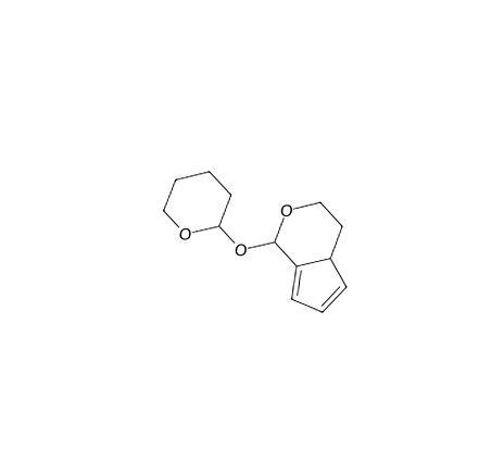 C1=CC2CCOC(OC3CCCCO3)C2=C1